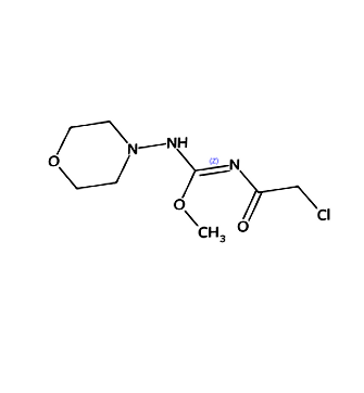 CO/C(=N\C(=O)CCl)NN1CCOCC1